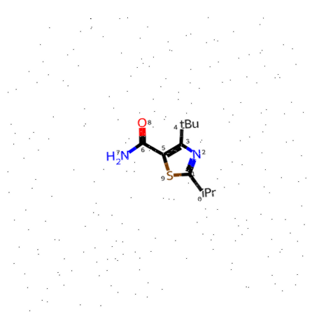 CC(C)c1nc(C(C)(C)C)c(C(N)=O)s1